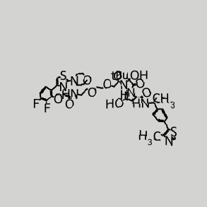 Cc1ncsc1-c1ccc([C@H](C)NC(=O)[C@@H]2C[C@@H](O)CN2C(=O)[C@](O)(NC(=O)COCCOCCNC(=O)COc2c(-c3csc(N4CCOCC4)n3)ccc(F)c2F)C(C)(C)C)cc1